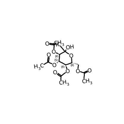 C#CC1(O)O[C@H](COC(C)=O)[C@@H](OC(C)=O)[C@H](OC(C)=O)[C@H]1OC(C)=O